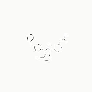 Cc1c(-c2ccc(Oc3ccccc3)cc2)c2c(N)ncnc2n1[C@@H]1CCCN(OC(=O)C(C)(C)C)C1